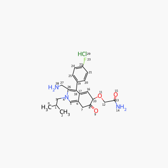 CC(C)CN1C=C2CC(=O)C(OCC(N)=O)C=C2C(c2ccc(F)cc2)=C1CN.Cl